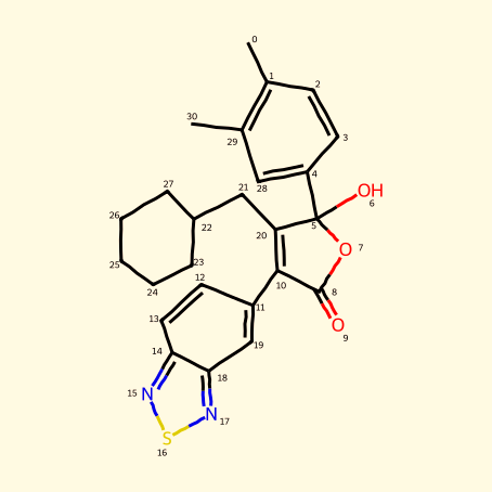 Cc1ccc(C2(O)OC(=O)C(c3ccc4nsnc4c3)=C2CC2CCCCC2)cc1C